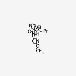 CC(C)CC(=O)NC1(C(=O)NCc2ccc(OCC(F)(F)F)nc2)C=NC=CN1